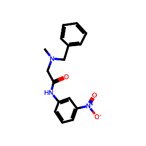 CN(CC(=O)Nc1cccc([N+](=O)[O-])c1)Cc1ccccc1